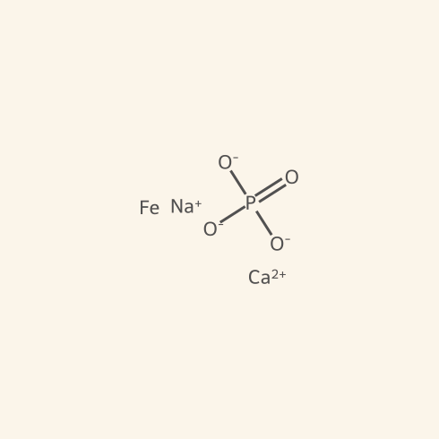 O=P([O-])([O-])[O-].[Ca+2].[Fe].[Na+]